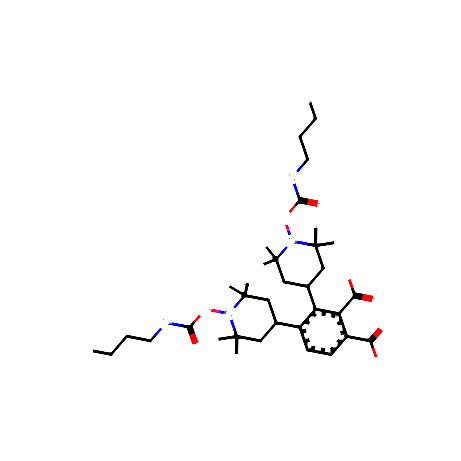 CCCCNC(=O)ON1C(C)(C)CC(c2ccc(C(=O)O)c(C(=O)O)c2C2CC(C)(C)N(OC(=O)NCCCC)C(C)(C)C2)CC1(C)C